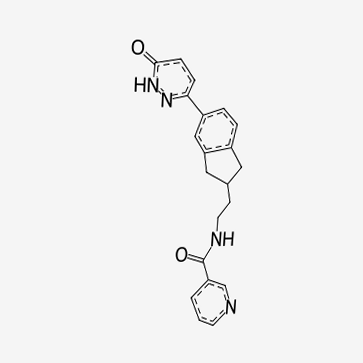 O=C(NCCC1Cc2ccc(-c3ccc(=O)[nH]n3)cc2C1)c1cccnc1